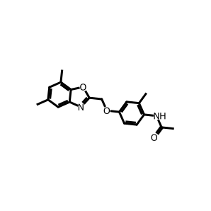 CC(=O)Nc1ccc(OCc2nc3cc(C)cc(C)c3o2)cc1C